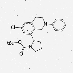 CC(C)(C)OC(=O)N1CCCC1c1cc(Cl)cc2c1CN(c1ccccc1)CC2